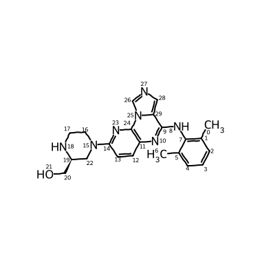 Cc1cccc(C)c1Nc1nc2ccc(N3CCN[C@H](CO)C3)nc2n2cncc12